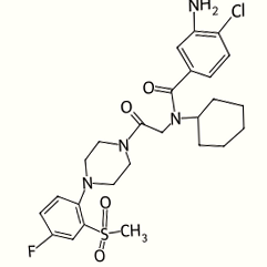 CS(=O)(=O)c1cc(F)ccc1N1CCN(C(=O)CN(C(=O)c2ccc(Cl)c(N)c2)C2CCCCC2)CC1